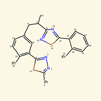 CC(C)c1nnc(-c2cc(CC(C)c3nsc(-c4ccccc4C(C)C)n3)ccc2C(C)C)s1